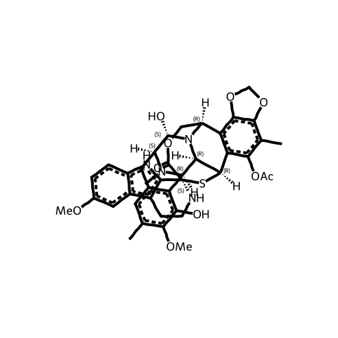 COc1ccc2[nH]c3c(c2c1)CCN[C@]31S[C@@H]2c3c(OC(C)=O)c(C)c4c(c3[C@H](COC1=O)N1[C@@H]2[C@H]2c3c(cc(C)c(OC)c3O)C[C@@H]([C@@H]1O)N2C)OCO4